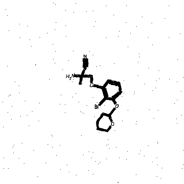 CC(N)(C#N)COc1cccc(OC2CCCCO2)c1Br